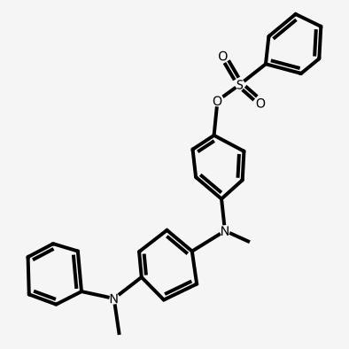 CN(c1ccccc1)c1ccc(N(C)c2ccc(OS(=O)(=O)c3ccccc3)cc2)cc1